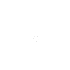 CCCCCCCOCCCCCCC.Oc1ccc(O)cc1